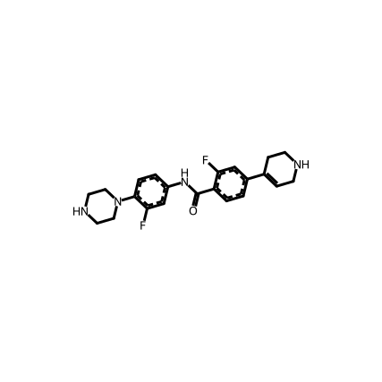 O=C(Nc1ccc(N2CCNCC2)c(F)c1)c1ccc(C2=CCNCC2)cc1F